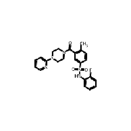 Cc1ccc(S(=O)(=O)Nc2ccccc2F)cc1C(=O)N1CCN(c2ccccn2)CC1